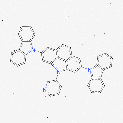 c1cncc(-n2c3cc(-n4c5ccccc5c5ccccc54)cc4ccc5cc(-n6c7ccccc7c7ccccc76)cc2c5c43)c1